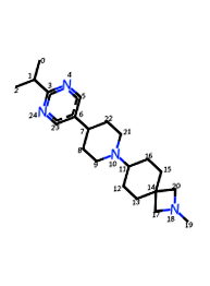 CC(C)c1ncc(C2CCN(C3CCC4(CC3)CN(C)C4)CC2)cn1